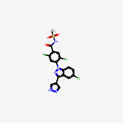 CS(=O)(=O)NC(=O)c1cc(Cl)c(-n2nc(-c3cn[nH]c3)c3cc(Cl)ccc32)cc1F